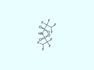 O=S(=O)(NS(=O)(=O)C(F)(F)C(F)F)C(F)(F)C(F)F